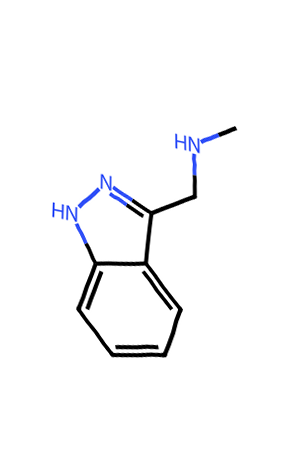 CNCc1n[nH]c2ccccc12